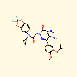 COc1ccc(-c2nn(CC(=O)N(c3ccc4c(c3)OC(F)(F)O4)C3CC3)c(=O)c3nc[nH]c23)cc1OC(C)C